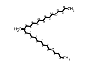 C=C(CCCCCCCCCOCCCC)CCCCCCCCCOCCCC